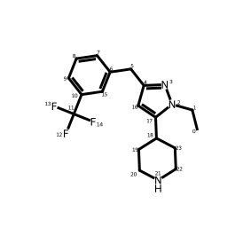 CCn1nc(Cc2cccc(C(F)(F)F)c2)cc1C1CCNCC1